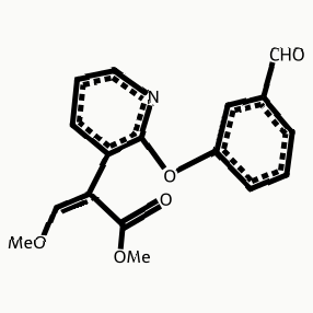 COC=C(C(=O)OC)c1cccnc1Oc1cccc(C=O)c1